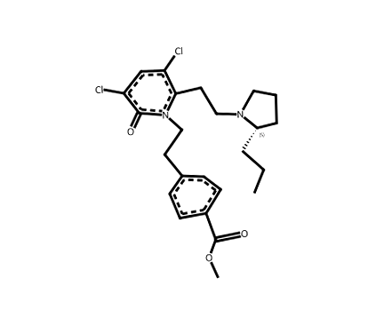 CCC[C@H]1CCCN1CCc1c(Cl)cc(Cl)c(=O)n1CCc1ccc(C(=O)OC)cc1